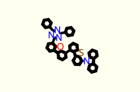 c1ccc(-c2nc(-c3ccccc3)nc(-c3cccc4c3oc3c(-c5cccc6sc7c(-n8c9ccccc9c9ccccc98)cccc7c56)cccc34)n2)cc1